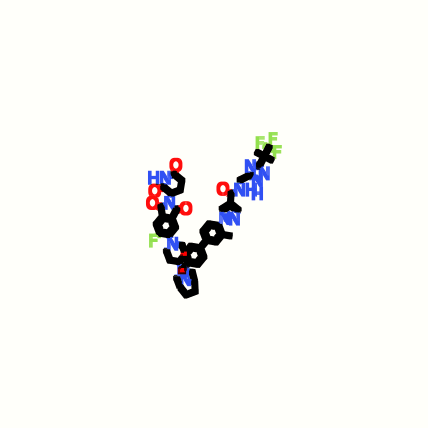 Cc1cc(-c2ccc(CN3C4CCC3CN(C3CCN(c5cc6c(cc5F)C(=O)N(C5CCC(=O)NC5=O)C6=O)CC3)C4)cc2)ccc1-n1cc(C(=O)NCc2nc(C(C)(C)C(F)(F)F)n[nH]2)cn1